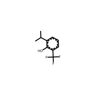 CC(C)c1cccc(C(F)(F)F)c1O